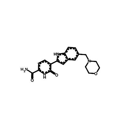 NC(=O)c1[c]cc(-c2cc3cc(CN4CCOCC4)ccc3[nH]2)c(=O)[nH]1